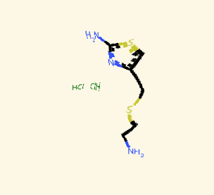 Cl.Cl.NCCSCc1csc(N)n1